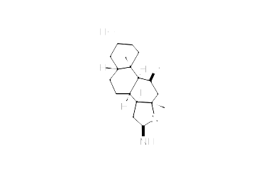 C[C@]12CC[C@@H](O)C[C@H]1CC[C@@H]1[C@@H]2C(=O)C[C@]2(C)NC(=N)C[C@@H]12